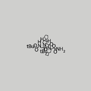 CC(C)(C)OC(=O)N[C@H](C(=O)N1C[C@H]2[C@@H]([C@H]1C(=O)NC(CC1CCC1)C(=O)C(N)=O)C21CCCC1)C(C)(C)C